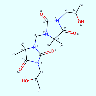 CC(O)CN1C(=O)N(CN2C(=O)N(CC(C)O)C(=O)C2(C)C)C(C)(C)C1=O